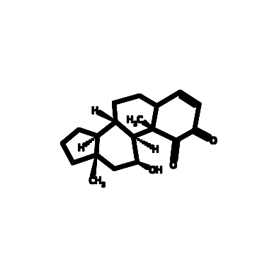 C[C@@]12CCC[C@H]1[C@@H]1CCC3C=CC(=O)C(=O)[C@]3(C)[C@H]1[C@@H](O)C2